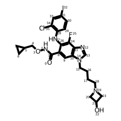 O=C(NOCC1CC1)c1cc2c(ncn2CCCCN2CC(O)C2)c(F)c1Nc1ccc(I)cc1Cl